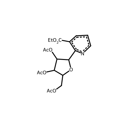 CCOC(=O)c1cccnc1C1OC(COC(C)=O)C(OC(C)=O)C1OC(C)=O